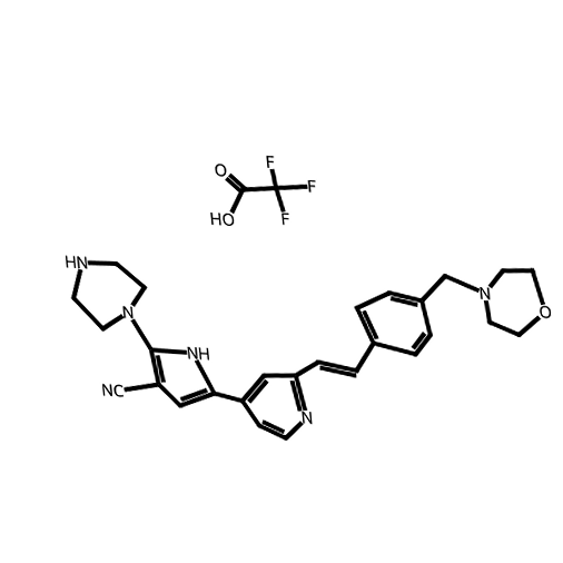 N#Cc1cc(-c2ccnc(C=Cc3ccc(CN4CCOCC4)cc3)c2)[nH]c1N1CCNCC1.O=C(O)C(F)(F)F